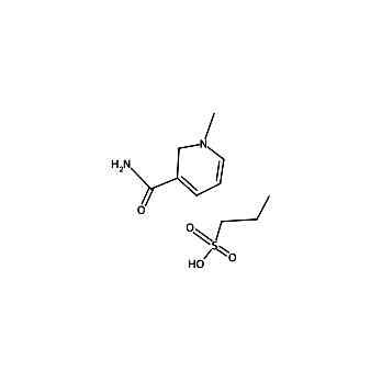 CCCS(=O)(=O)O.CN1C=CC=C(C(N)=O)C1